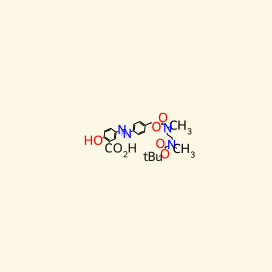 CN(CCN(C)C(=O)OC(C)(C)C)C(=O)OCc1ccc(/N=N/c2ccc(O)c(C(=O)O)c2)cc1